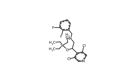 CC[Si](CC)(CC)OC(CNCc1cccc(F)c1F)c1c(Cl)cncc1Cl